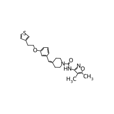 Cc1onc(NC(=O)N2CCC(=Cc3cccc(OCCc4ccsc4)c3)CC2)c1C